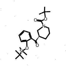 CC(C)(C)OC(=O)N1CCC[C@@H](C(=O)c2ccccc2O[Si](C)(C)C(C)(C)C)C1